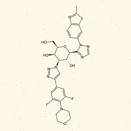 Cc1nc2ccc(-n3ncnc3[C@@H]3O[C@H](CO)[C@H](O)[C@H](n4cc(-c5cc(F)c(N6CCOCC6)c(F)c5)nn4)[C@H]3O)cc2s1